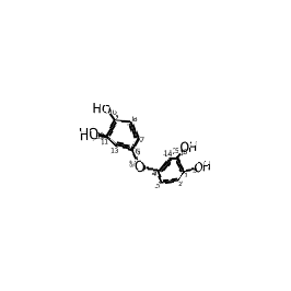 Oc1ccc(Oc2ccc(O)c(O)c2)cc1O